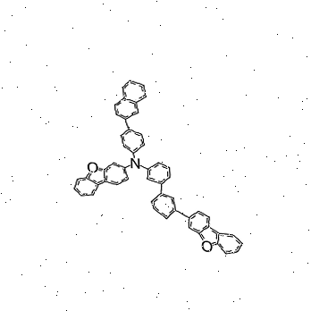 c1cc(-c2cccc(N(c3ccc(-c4ccc5ccccc5c4)cc3)c3ccc4c(c3)oc3ccccc34)c2)cc(-c2ccc3c(c2)oc2ccccc23)c1